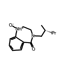 CC(C)[C@@H](C)CN1CC[NH+]([O-])c2ccccc2C1=O